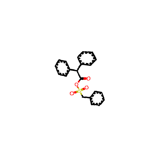 O=C(OS(=O)(=O)Cc1ccccc1)C(c1ccccc1)c1ccccc1